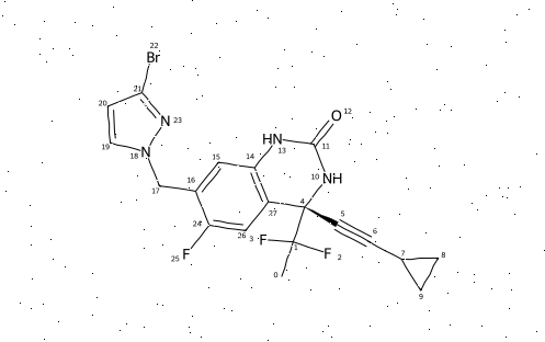 CC(F)(F)[C@@]1(C#CC2CC2)NC(=O)Nc2cc(Cn3ccc(Br)n3)c(F)cc21